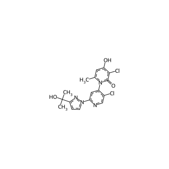 Cc1cc(O)c(Cl)c(=O)n1-c1cc(-n2ccc(C(C)(C)O)n2)ncc1Cl